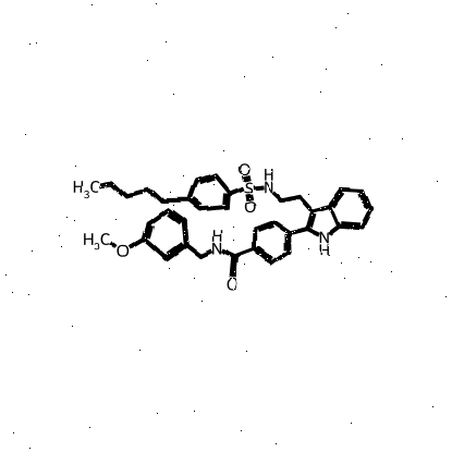 CCCCCc1ccc(S(=O)(=O)NCCc2c(-c3ccc(C(=O)NCc4cccc(OC)c4)cc3)[nH]c3ccccc23)cc1